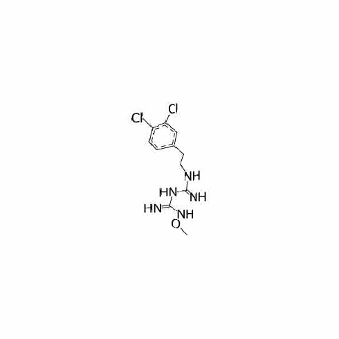 CONC(=N)NC(=N)NCCc1ccc(Cl)c(Cl)c1